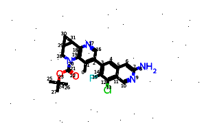 Cc1c(-c2cc3cc(N)ncc3c(Cl)c2F)cnc2c1N(C(=O)OC(C)(C)C)CC1CC21